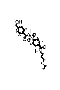 CCOCCCNC(=O)c1ccc(S(=O)(=O)NC(=O)c2ccc(CO)nc2)cc1